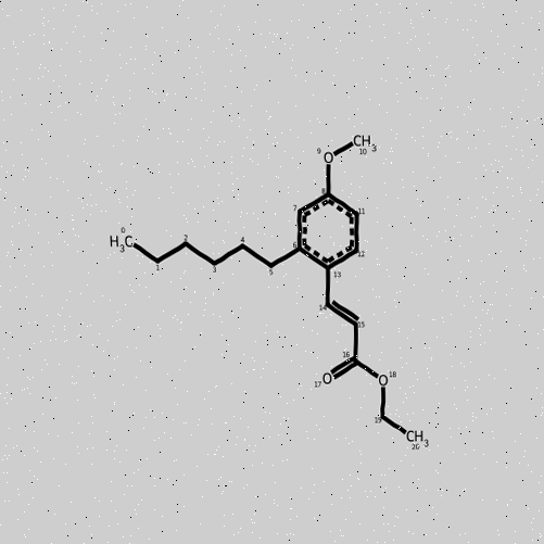 CCCCCCc1cc(OC)ccc1/C=C/C(=O)OCC